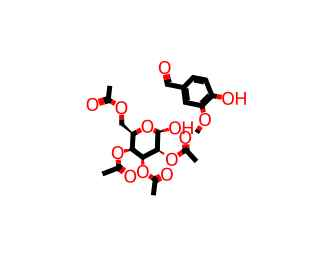 CC(=O)OC[C@H]1O[C@@H](O)[C@H](OC(C)=O)[C@@H](OC(C)=O)[C@H]1OC(C)=O.COc1cc(C=O)ccc1O